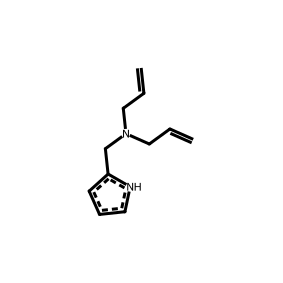 C=CCN(CC=C)Cc1ccc[nH]1